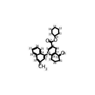 Cc1cc(N2C=C(C(=O)OC3CCCCC3)CC3=C2CCCC3=O)c2ccccc2c1